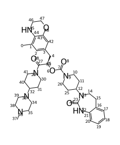 Cc1cc(C[C@@H](OC(=O)N2CCC(N3CCc4ccccc4NC3=O)CC2)C(=O)N2CCC(N3CCN(C)CC3)CC2)cc2c1NCCO2